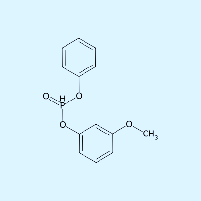 COc1cccc(O[PH](=O)Oc2ccccc2)c1